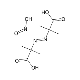 CC(C)(N=NC(C)(C)C(=O)O)C(=O)O.O=NO